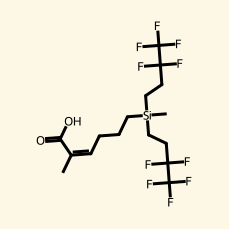 CC(=CCCC[Si](C)(CCC(F)(F)C(F)(F)F)CCC(F)(F)C(F)(F)F)C(=O)O